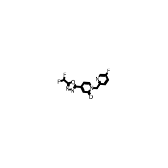 O=c1cc(-c2nnc(C(F)F)o2)ccn1Cc1ccc(F)cn1